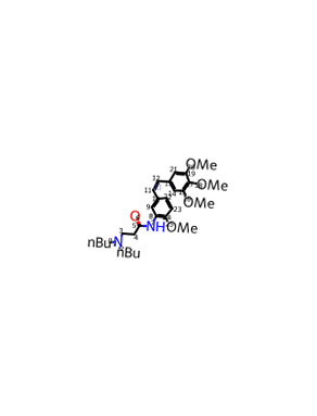 CCCCN(CCCC)CCC(=O)Nc1cc(/C=C\c2cc(OC)c(OC)c(OC)c2)ccc1OC